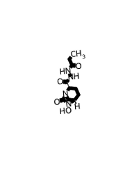 CCC(=O)NNC(=O)[C@@H]1CC[C@@H]2CN1C(=O)N2O